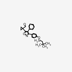 CC(C)(C)C[SiH2]Oc1ccc(-c2noc(C3(C=O)CC3)c2-c2ccccc2)cc1